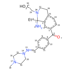 CCC1(N)c2cc(C(=O)c3ccc(C=NN4CCN(C)CC4)cc3)ccc2CCN1CC(=O)O